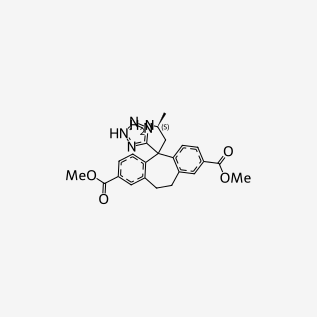 COC(=O)c1ccc2c(c1)CCc1cc(C(=O)OC)ccc1C2(C[C@H](C)N)c1nn[nH]n1